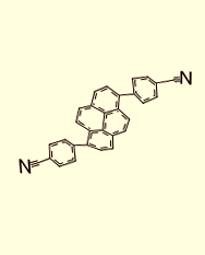 N#Cc1ccc(-c2ccc3ccc4c(-c5ccc(C#N)cc5)ccc5ccc2c3c54)cc1